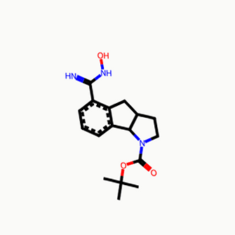 CC(C)(C)OC(=O)N1CCC2Cc3c(C(=N)NO)cccc3C21